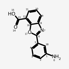 Nc1cccc(-c2nc3cccc(C(=O)O)c3o2)c1